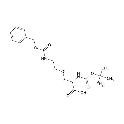 CC(C)(C)OC(=O)NC(COCCNC(=O)OCc1ccccc1)C(=O)O